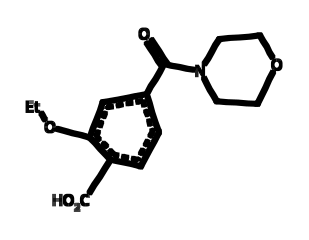 CCOc1cc(C(=O)N2CCOCC2)ccc1C(=O)O